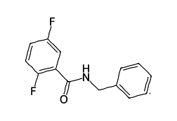 O=C(NCc1c[c]ccc1)c1cc(F)ccc1F